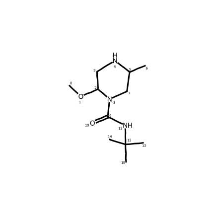 COC1CNC(C)CN1C(=O)NC(C)(C)C